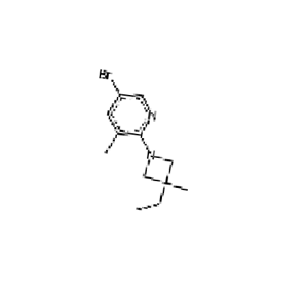 CCC1(C)CN(c2ncc(Br)cc2C)C1